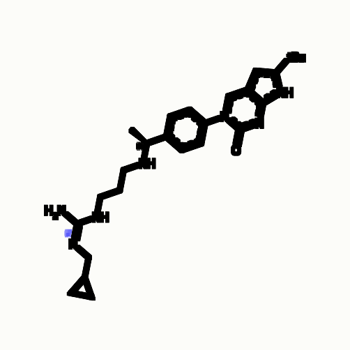 C[C@H](NCCCN/C(N)=N\CC1CC1)c1ccc(-n2cc3cc(C(C)(C)C)[nH]c3nc2=O)cc1